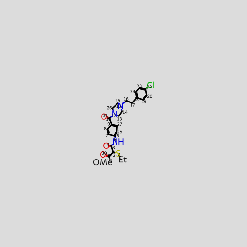 CCSC(C(=O)Nc1ccc(C(=O)N2CCN(CCc3ccc(Cl)cc3)CC2)cc1)C(=O)OC